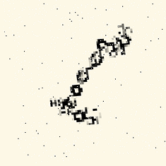 CN(C(=O)Cc1cccc(N2CCN(CCN3CCN(c4ccc(OCC(C)(O)C(=O)Nc5ccc(C#N)c(C(F)(F)F)c5)cc4)CC3)CC2)n1)C1CCC(=O)NC1=O